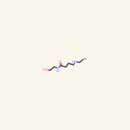 CC(C)CNCCCC(=O)NCCO